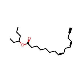 C#CC/C=C\C/C=C\CCCCCCC(=O)OC(CC)CCC